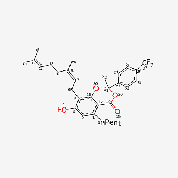 CCCCCc1cc(O)c(CC=C(C)CCC=C(C)C)c2c1C(=O)OC(C)(c1ccc(C(F)(F)F)cc1)O2